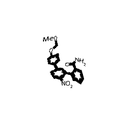 COCOc1ccc(-c2ccc([N+](=O)[O-])c(-c3ccccc3C(N)=O)c2)cc1